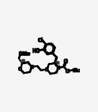 COC[C@@H]1CN(CCN2CCN(C(=O)OC(C)(C)C)[C@H](Cc3ccc(Cl)c(O)c3)C2)CCO1